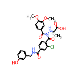 COc1ccc(C(=O)N(N[C@@H](C)C(=O)O)C(=O)c2ccc(C(=O)NCc3cccc(O)c3)cc2Cl)cc1OC